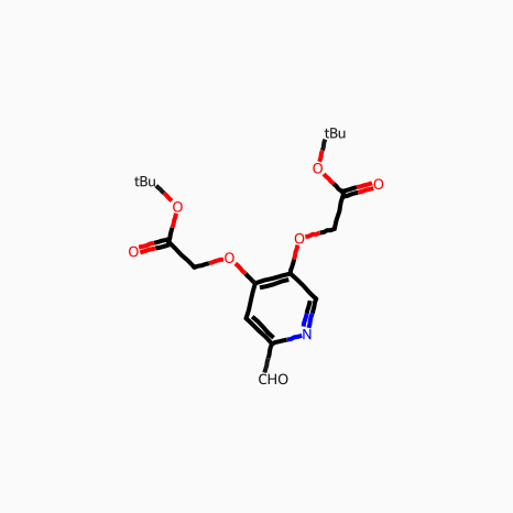 CC(C)(C)OC(=O)COc1cnc(C=O)cc1OCC(=O)OC(C)(C)C